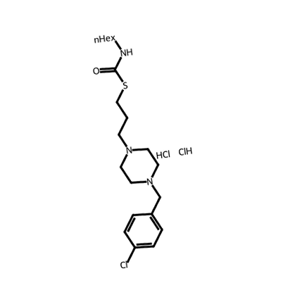 CCCCCCNC(=O)SCCCN1CCN(Cc2ccc(Cl)cc2)CC1.Cl.Cl